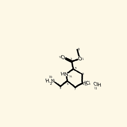 COC(=O)C1CCCC(CN)N1.Cl.Cl